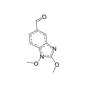 COc1nc2cc(C=O)ccc2n1OC